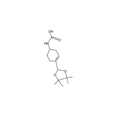 CC1(C)OC(C2=CCC(NC(=O)O)CC2)OC1(C)C